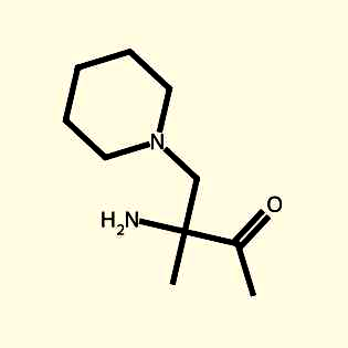 CC(=O)C(C)(N)CN1CCCCC1